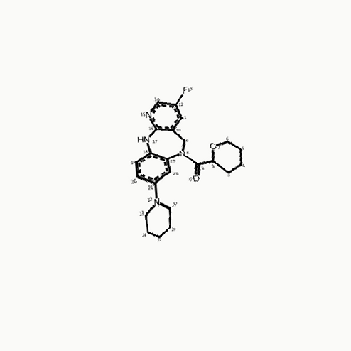 O=C(C1CCCCO1)N1Cc2cc(F)cnc2Nc2ccc(N3CCCCC3)cc21